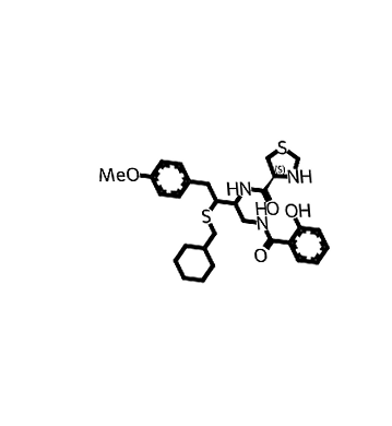 COc1ccc(CC(SCC2CCCCC2)C(CNC(=O)c2ccccc2O)NC(=O)[C@H]2CSCN2)cc1